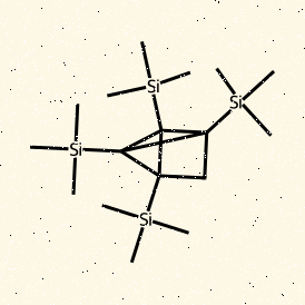 C[Si](C)(C)C12CC3([Si](C)(C)C)C1([Si](C)(C)C)C23[Si](C)(C)C